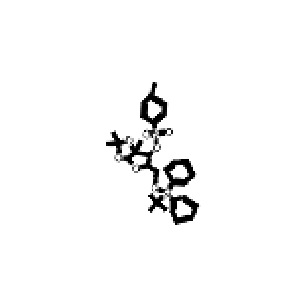 Cc1ccc(S(=O)(=O)OC2C(CO[Si](c3ccccc3)(c3ccccc3)C(C)(C)C)OC3OC(C)(C)OC32C)cc1